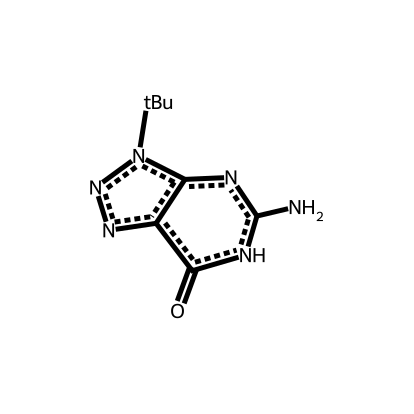 CC(C)(C)n1nnc2c(=O)[nH]c(N)nc21